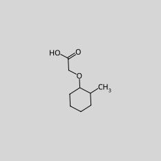 CC1CCCCC1OCC(=O)O